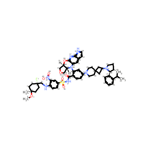 CO[C@]1(C)CC[C@](F)(CNc2ccc(S(=O)(=O)NC(=O)c3ccc(N4CCC5(CC4)CC(N4CCC[C@H]4c4ccccc4C(C)C)C5)cc3N3c4cc5cc[nH]c5nc4O[C@@H]4COC[C@H]43)cc2[N+](=O)[O-])CC1